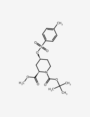 COC(=O)[C@H]1C[C@@H](OS(=O)(=O)c2ccc(C)cc2)CCN1C(=O)OC(C)(C)C